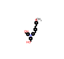 COc1ccc(CCc2ccc(Cc3ccc(N(c4ccc(CO)cc4)c4ccc(CO)cc4)cc3)cc2)cc1